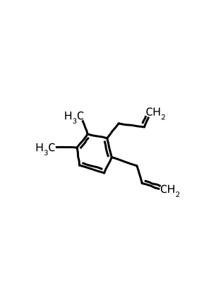 C=CCc1ccc(C)c(C)c1CC=C